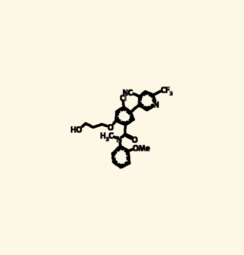 COc1ccccc1N(C)C(=O)c1cc(-c2cnc(C(F)(F)F)cc2C#N)c(Cl)cc1OCCCO